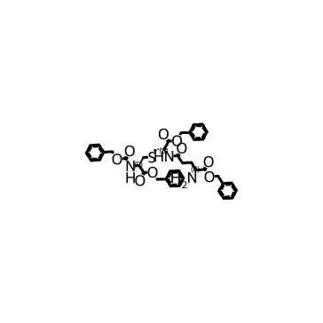 N[C@H](CCC(=O)N[C@H](CSC[C@H](NC(=O)OCc1ccccc1)C(=O)OCc1ccccc1)C(=O)OCc1ccccc1)C(=O)OCc1ccccc1